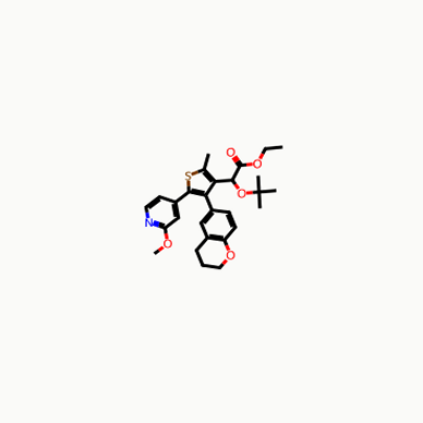 CCOC(=O)C(OC(C)(C)C)c1c(C)sc(-c2ccnc(OC)c2)c1-c1ccc2c(c1)CCCO2